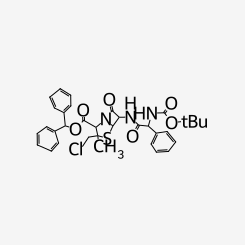 CC(C)(C)OC(=O)NC(C(=O)NC1C(=O)N2C1SC(C)(CCl)C2C(=O)OC(c1ccccc1)c1ccccc1)c1ccccc1